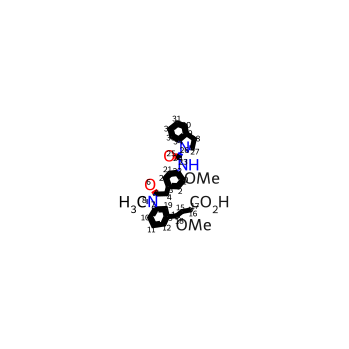 COc1cc(CC(=O)N(C)c2cccc(C(CCC(=O)O)OC)c2)ccc1NC(=O)N1CCc2ccccc21